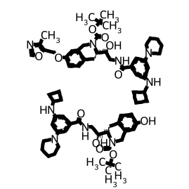 CC(C)(C)OC(=O)N1Cc2cc(O)ccc2C[C@H]1[C@H](O)CNC(=O)c1cc(NC2CCC2)cc(N2CCCCC2)c1.Cc1ncoc1COc1ccc2c(c1)CN(C(=O)OC(C)(C)C)[C@H]([C@H](O)CNC(=O)c1cc(NC3CCC3)cc(N3CCCCC3)c1)C2